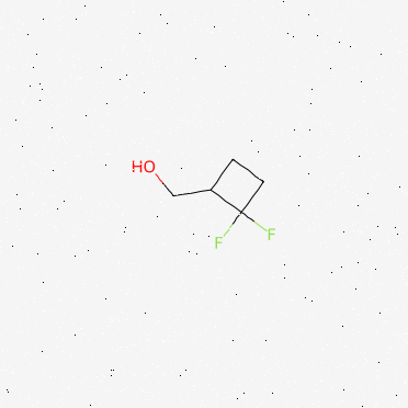 OCC1CCC1(F)F